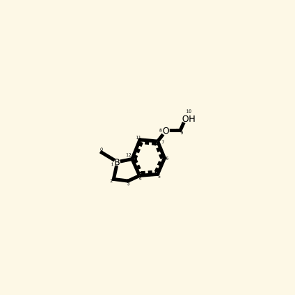 CB1CCc2ccc(OCO)cc21